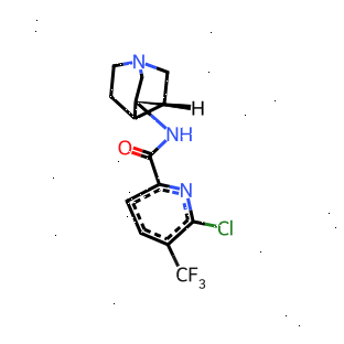 O=C(N[C@H]1CN2CCC1CC2)c1ccc(C(F)(F)F)c(Cl)n1